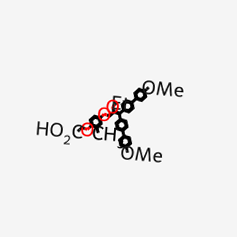 CCOC(COc1ccc(OCC(=O)O)c(C)c1)=C(c1ccc(-c2ccc(OC)cc2)cc1)c1ccc(-c2ccc(OC)cc2)cc1